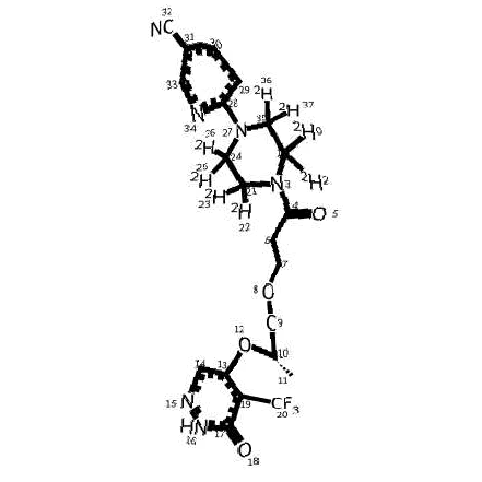 [2H]C1([2H])N(C(=O)CCOC[C@H](C)Oc2cn[nH]c(=O)c2C(F)(F)F)C([2H])([2H])C([2H])([2H])N(c2ccc(C#N)cn2)C1([2H])[2H]